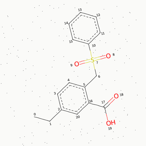 CCc1ccc(CS(=O)(=O)c2ccccc2)c(C(=O)O)c1